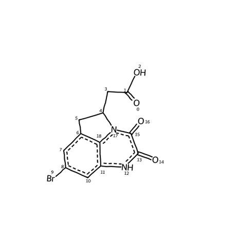 O=C(O)CC1Cc2cc(Br)cc3[nH]c(=O)c(=O)n1c23